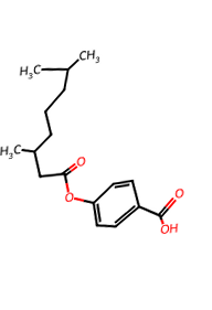 CC(C)CCCC(C)CC(=O)Oc1ccc(C(=O)O)cc1